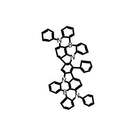 c1ccc(-c2c3c4ccc5c6c4n(c3cc3c4ccc7c8c4n(c23)-c2ccccc2B8c2ccccc2N7c2ccccc2)-c2ccccc2B6c2ccccc2N5c2ccccc2)cc1